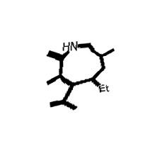 C=C1NCC(C)CC(CC)C(C(=C)C)C1C